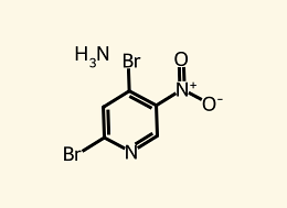 N.O=[N+]([O-])c1cnc(Br)cc1Br